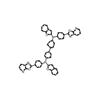 c1ccc2oc(N(c3ccc(-c4ccc(N(c5ccc(-c6nc7cccnc7o6)cc5)c5cc6ccccc6o5)cc4)cc3)c3ccc(-c4nc5cccnc5o4)cc3)cc2c1